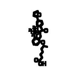 [2H]C([2H])([2H])N(Cc1ccccc1OC(C)CCCCC(=O)O)C(=O)c1ccc(-c2ccco2)cc1